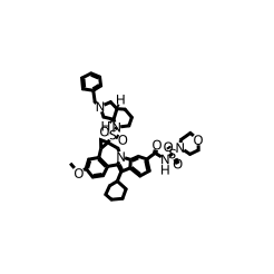 COc1ccc2c(c1)C1CC1(S(=O)(=O)N1CCC[C@H]3CN(Cc4ccccc4)C[C@H]31)Cn1c-2c(C2CCCCC2)c2ccc(C(=O)NS(=O)(=O)N3CCOCC3)cc21